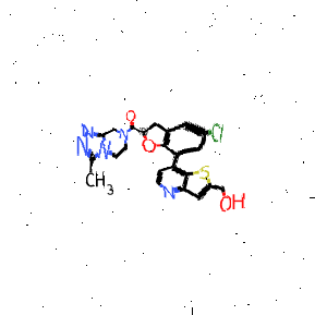 Cc1nnc2n1CCN(C(=O)[C@H]1Cc3cc(Cl)cc(-c4ccnc5cc(CO)sc45)c3O1)C2